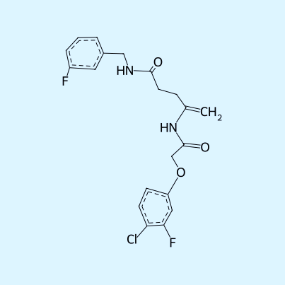 C=C(CCC(=O)NCc1cccc(F)c1)NC(=O)COc1ccc(Cl)c(F)c1